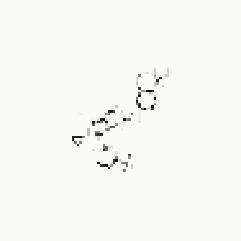 CC(C)(O)c1ccnc(-n2c3nc(Nc4ccc5c(c4)CCNC5(C)C)ncc3c(=O)n2C2CC2)n1